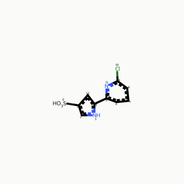 O=S(=O)(O)c1c[nH]c(-c2cccc(Cl)n2)c1